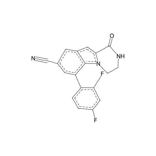 N#Cc1cc(-c2ccc(F)cc2F)c2c(c1)cc1n2CCNC1=O